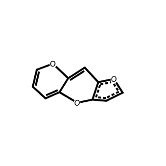 C1=COC2=Cc3occc3OC2=C1